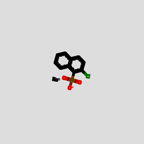 O=S(=O)([O-])c1c(Cl)ccc2ccccc12.[Na+]